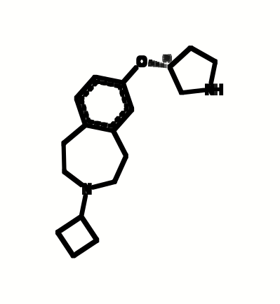 c1cc2c(cc1O[C@@H]1CCNC1)CCN(C1CCC1)CC2